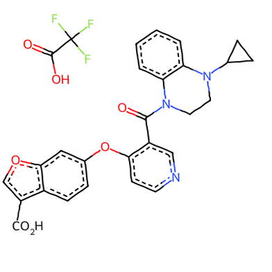 O=C(O)C(F)(F)F.O=C(O)c1coc2cc(Oc3ccncc3C(=O)N3CCN(C4CC4)c4ccccc43)ccc12